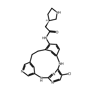 O=C(C[C@H]1CCNC1)Nc1ccc2cc1CCc1cncc(c1)Nc1ncc(Cl)c(n1)N2